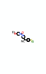 CCOC1CCN(C(=O)N2CCC(=C(C#N)c3ccc(SCl)cc3)CC2)CC1